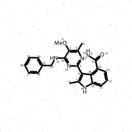 COc1c(C)nc(-c2c(C)[nH]c3cccc(C(N)=O)c23)nc1NCc1ccccc1